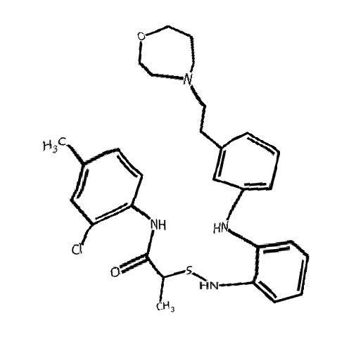 Cc1ccc(NC(=O)C(C)SNc2ccccc2Nc2cccc(CCN3CCOCC3)c2)c(Cl)c1